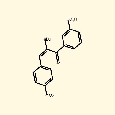 [CH2]CCCC(=Cc1ccc(OC)cc1)C(=O)c1cccc(C(=O)O)c1